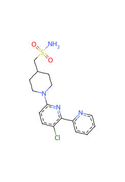 NS(=O)(=O)CC1CCN(c2ccc(Cl)c(-c3ccccn3)n2)CC1